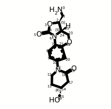 NC[C@@H]1OC(=O)N2c3ccc(N4CC[C@@H](CO)CC4=O)cc3OC[C@@H]12